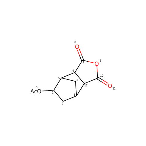 CC(=O)OC1CC2CC1C1C(=O)OC(=O)C21